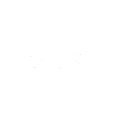 Cc1cc(COc2ccc(S(=O)(=O)N(C)[C@@H]3CCC[C@]3(CO)C(=O)O)cc2)c2ccccc2n1